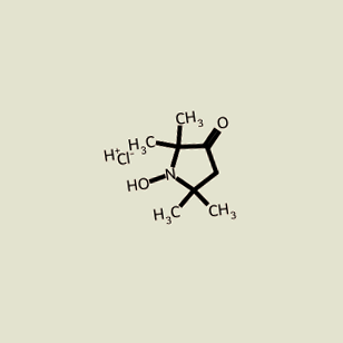 CC1(C)CC(=O)C(C)(C)N1O.[Cl-].[H+]